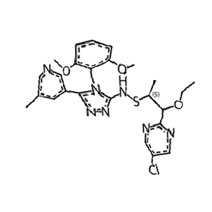 CCOC(c1ncc(Cl)cn1)[C@H](C)SNc1nnc(-c2cncc(C)c2)n1-c1c(OC)cccc1OC